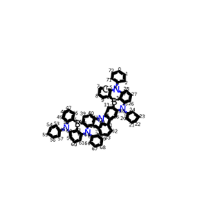 c1ccc(N2c3ccccc3B3c4cc5c(cc4N(c4ccccc4)c4cccc2c43)c2cccc3c4c6c(ccc4n5c23)B2c3ccccc3N(c3ccccc3)c3cccc(c32)N6c2ccccc2)cc1